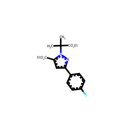 CCOC(=O)c1cc(-c2ccc(F)cc2)nn1C(C)(C)C(=O)OCC